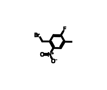 Cc1cc([N+](=O)[O-])c(CBr)cc1F